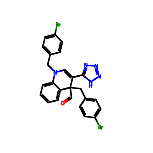 O=CC1(Cc2ccc(Br)cc2)C(c2nnn[nH]2)=CN(Cc2ccc(Br)cc2)c2ccccc21